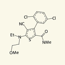 CCN(CCOC)c1sc(C(=O)NC)c(-c2cc(Cl)ccc2Cl)c1C#N